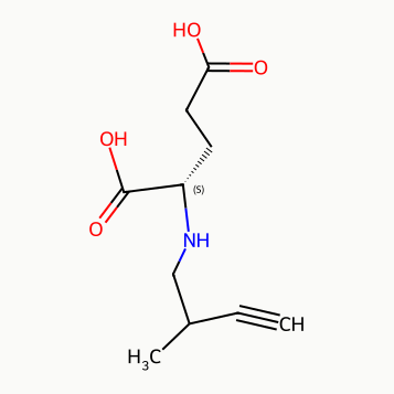 C#CC(C)CN[C@@H](CCC(=O)O)C(=O)O